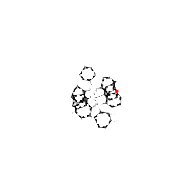 c1ccc([Si](c2ccccc2)(c2ccccc2)[Si](c2ccccc2)(c2ccccc2)[Si](c2ccccc2)(c2ccccc2)c2ccccc2)cc1